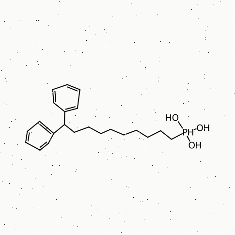 O[PH](O)(O)CCCCCCCCCC(c1ccccc1)c1ccccc1